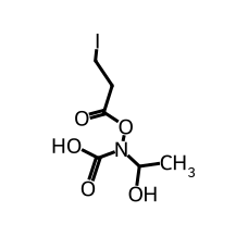 CC(O)N(OC(=O)CCI)C(=O)O